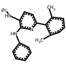 Cc1cccc(C)c1-c1ccc(NC(C)C)c(Nc2ccccc2)n1